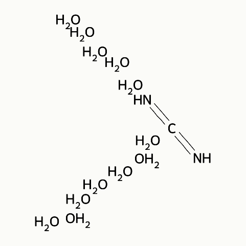 N=C=N.O.O.O.O.O.O.O.O.O.O.O.O